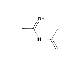 C=C(C)NC(C)=N